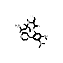 CCC(C)(/C=C(/C)N)N(C)/C(=C\O)C(=O)Nc1cc(NC)c(N(C)C)cc1N1CCOCC1